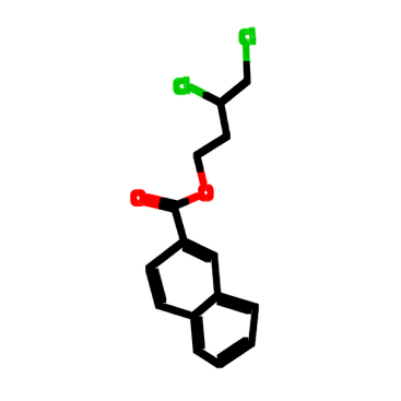 O=C(OCCC(Cl)CCl)c1ccc2ccccc2c1